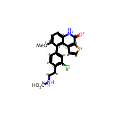 COc1ccc2[nH]c(=O)c3sccc3c2c1-c1ccc(CCNC(=O)O)c(Cl)c1